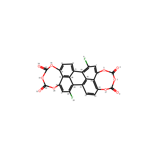 O=C1OC(=O)Oc2cc(F)c3c4ccc5c6c(cc(F)c(c7ccc(c2c73)O1)c64)OC(=O)OC(=O)O5